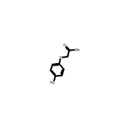 O=C(O)COc1ccc(S)cc1